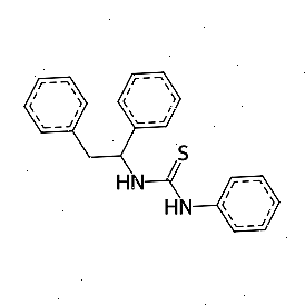 S=C(Nc1ccccc1)NC(Cc1ccccc1)c1ccccc1